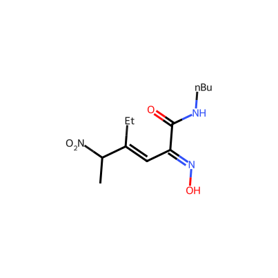 CCCCNC(=O)C(/C=C(\CC)C(C)[N+](=O)[O-])=N/O